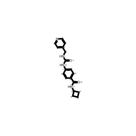 O=C(NCc1ccncc1)Nc1ccc(C(=O)NC2CCC2)cc1